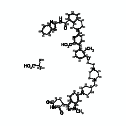 Cc1c(OCCN2CCN(CC3CCN(c4ccc5c(C6CCC(=O)NC6=O)nn(C)c5c4)CC3)CC2)cccc1-c1ccc(N2CCc3cccc(C(=O)Nc4nc5ccccc5s4)c3C2)nc1C(=O)O.O=C(O)C(F)F